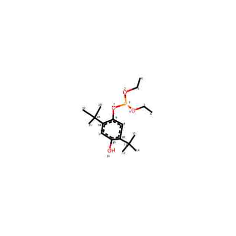 CCOP(OCC)Oc1cc(C(C)(C)C)c(O)cc1C(C)(C)C